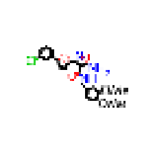 COc1ccc(CNC(=O)c2c(-c3ccc(-c4cccc(Cl)c4)o3)noc2N)cc1OC